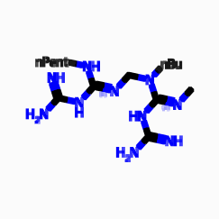 CCCCCN/C(=N\CN(CCCC)/C(=N\C)NC(=N)N)NC(=N)N